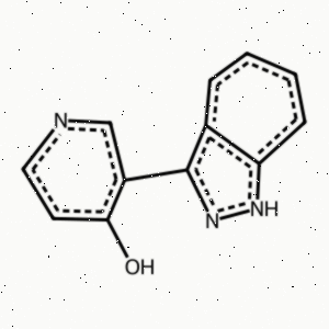 Oc1ccncc1-c1n[nH]c2ccccc12